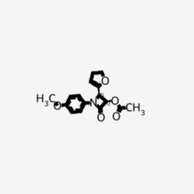 COc1ccc(N2C(=O)[C@H](OC(C)=O)[C@@H]2C2=CCCO2)cc1